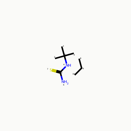 CC(C)(C)NC(N)=S.CCC